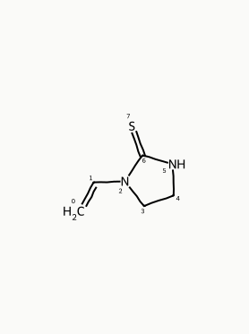 C=CN1CCNC1=S